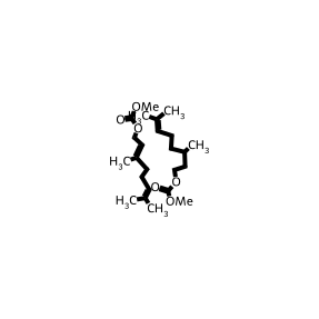 COC(=O)OC/C=C(\C)CCC=C(C)C.COC(=O)OCCC(C)CCC=C(C)C